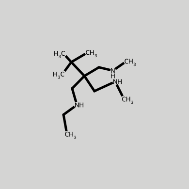 CCNCC(CNC)(CNC)C(C)(C)C